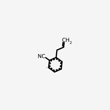 C=CCc1ccc[c]c1C#N